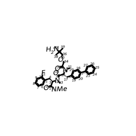 CNC(=O)[C@@H](Cc1ccccc1F)N(C)C(=O)[C@@H](Cc1ccc(-c2ccccc2)cc1)N(C)C(=O)COCC(C)(C)N